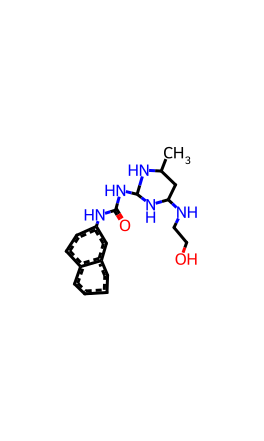 CC1CC(NCCO)NC(NC(=O)Nc2ccc3ccccc3c2)N1